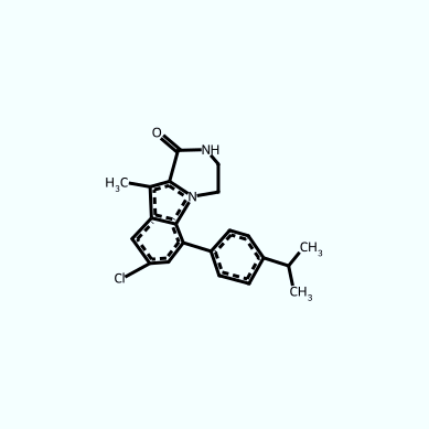 Cc1c2n(c3c(-c4ccc(C(C)C)cc4)cc(Cl)cc13)CCNC2=O